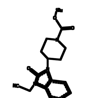 CC(C)(C)OC(=O)N1CCC(n2c(=O)n(CC#N)c3ccccc32)CC1